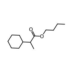 CCCCOC(=O)C(C)C1CCCCC1